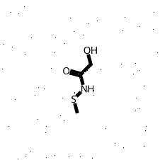 CSNC(=O)CO